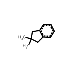 CC1(C)[CH]c2ccccc2C1